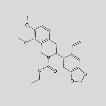 C=Cc1cc2c(cc1C1Cc3ccc(OC)c(OC)c3CN1C(=O)OCC)OCO2